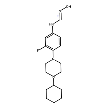 O/N=C/Nc1ccc(N2CCN(C3CCCCC3)CC2)c(F)c1